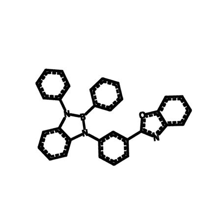 c1ccc(B2N(c3ccccc3)c3ccccc3N2c2cccc(-c3nc4ccccc4o3)c2)cc1